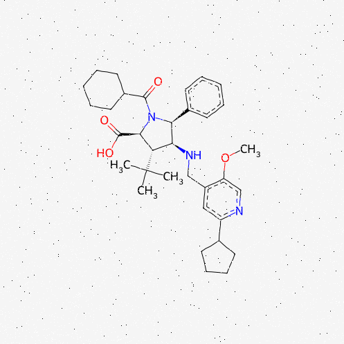 COc1cnc(C2CCCC2)cc1CN[C@H]1[C@H](C(C)(C)C)[C@@H](C(=O)O)N(C(=O)C2CCCCC2)[C@H]1c1ccccc1